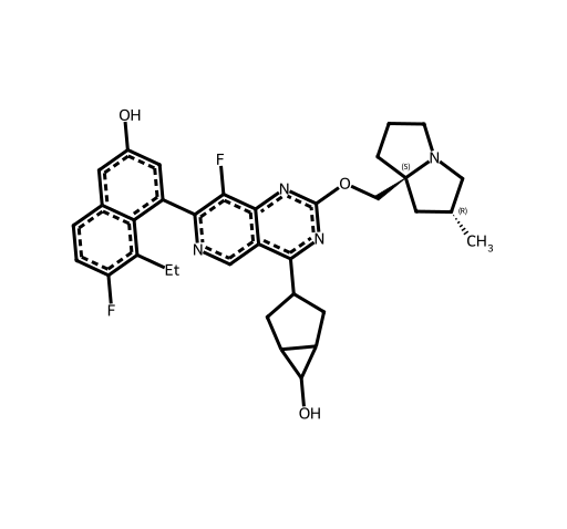 CCc1c(F)ccc2cc(O)cc(-c3ncc4c(C5CC6C(O)C6C5)nc(OC[C@@]56CCCN5C[C@H](C)C6)nc4c3F)c12